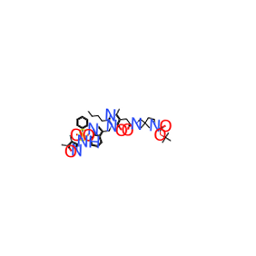 CCCCc1nc(C)c(CC(=O)N2CC3(CCN(C(=O)OC(C)(C)C)C3)C2)c(=O)n1Cc1cn(-c2ccccc2S(=O)(=O)Nc2noc(C)c2C)c2ccccc12